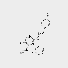 CN(Cc1ccccc1)c1nc(ON=Cc2ccc(Cl)cc2)ncc1F